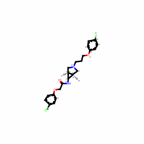 O=C(COc1ccc(Cl)cc1)NC1[C@H]2CN(CCCOc3ccc(Cl)cc3)C[C@@H]12